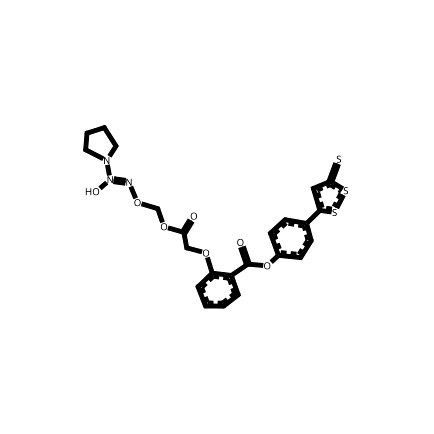 O=C(COc1ccccc1C(=O)Oc1ccc(-c2cc(=S)ss2)cc1)OCO/N=[N+](\O)N1CCCC1